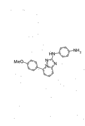 COc1ccc(-c2cccc3nc(Nc4ccc(N)cc4)nn23)cc1